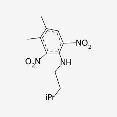 Cc1cc([N+](=O)[O-])c(NCCC(C)C)c([N+](=O)[O-])c1C